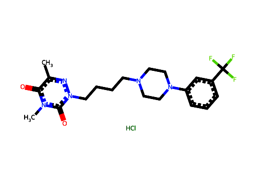 Cc1nn(CCCCN2CCN(c3cccc(C(F)(F)F)c3)CC2)c(=O)n(C)c1=O.Cl